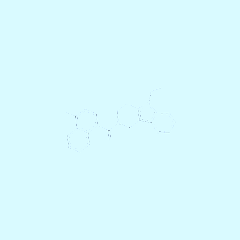 CCn1c2c(c3ccccc31)CN(C(=O)c1ccc(C)c3ccccc13)CC2